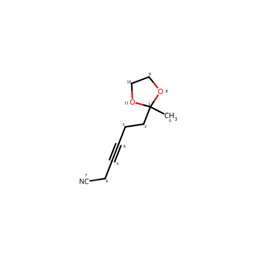 CC1(CCC#CCC#N)OCCO1